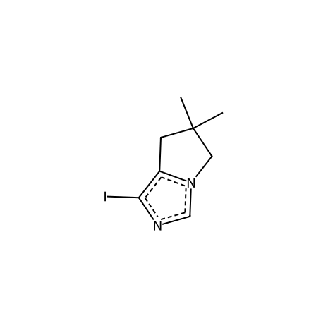 CC1(C)Cc2c(I)ncn2C1